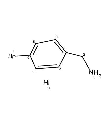 I.NCc1ccc(Br)cc1